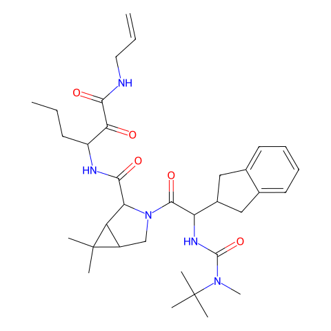 C=CCNC(=O)C(=O)C(CCC)NC(=O)C1C2C(CN1C(=O)C(NC(=O)N(C)C(C)(C)C)C1Cc3ccccc3C1)C2(C)C